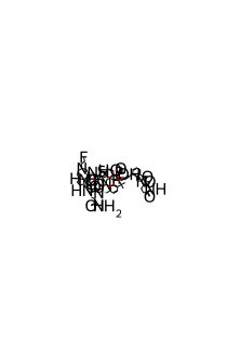 CC(C)(C)c1ccc(C[C@H](NC(=O)[C@H](CCC(N)=O)NC(=O)[C@@H]2CC[C@@H]3CCN(CCF)C[C@H](NC(=O)c4cc5cc(C(F)(F)P(=O)(O)O)ccc5s4)C(=O)N32)C(=O)N2CCC(CCC#Cc3cccc4c3CN(C3CCC(=O)NC3=O)C4=O)CC2)cc1